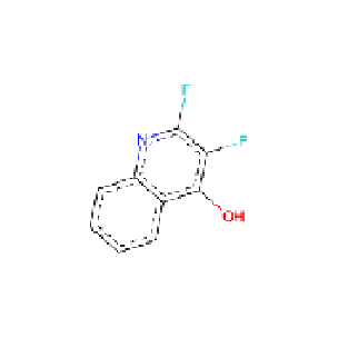 Oc1c(F)c(F)nc2ccccc12